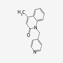 Cc1cc(=O)n(Cc2ccncc2)c2ccccc12